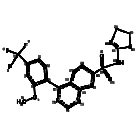 COc1cc(C(F)(F)F)ccc1-c1ncnc2cc(S(=O)(=O)NC3=NCCS3)ccc12